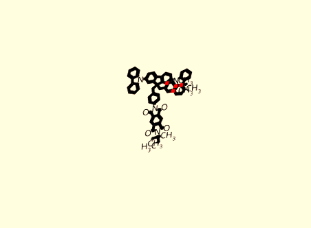 CCC(C)(C)c1ccc(CC2(Cc3ccc(-n4c(=O)c5cc6c(=O)n(C(C)(CC)CC)c(=O)c6cc5c4=O)cc3)c3cc(-n4c5ccccc5c5ccccc54)ccc3-c3ccc(-n4c5ccccc5c5ccccc54)cc32)cc1